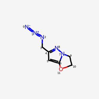 [N-]=[N+]=NCc1cc2n(n1)CCO2